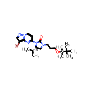 CC(C)[C@H]1CN(CCCO[Si](C)(C)C(C)(C)C)C(=O)N1c1ccn2ncc(Br)c2n1